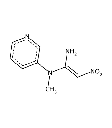 CN(C(N)=C[N+](=O)[O-])c1cccnc1